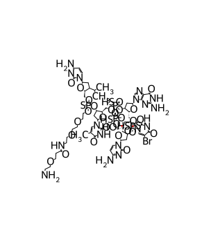 Cc1cn([C@H]2CC(OP(=S)(OCCOCCOCCNC(=O)CCOCCN)OC[C@H]3O[C@@H](n4ccc(N)nc4=O)CC3C(C)C)[C@@H](COP(=O)(S)OC3C[C@H](n4cnc5c(=O)[nH]c(N)nc54)O[C@@H]3COP(=S)(S)OC3C[C@H](n4ccc(N)nc4=O)O[C@@H]3COP(=O)(S)OC3C[C@H](n4cc(Br)c(=O)[nH]c4=O)O[C@@H]3CO)O2)c(=O)[nH]c1=O